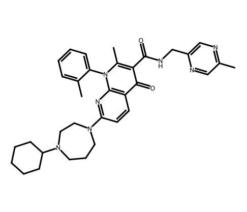 Cc1cnc(CNC(=O)c2c(C)n(-c3ccccc3C)c3nc(N4CCCN(C5CCCCC5)CC4)ccc3c2=O)cn1